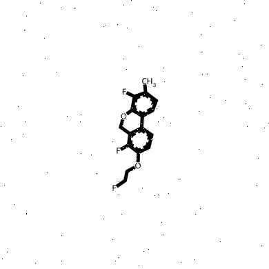 Cc1ccc2c(c1F)OCc1c-2ccc(OCCF)c1F